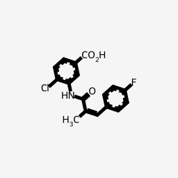 CC(=Cc1ccc(F)cc1)C(=O)Nc1cc(C(=O)O)ccc1Cl